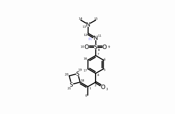 CC(C(=O)c1ccc(S(=O)(=O)/N=C/N(C)C)cc1)=C1SCS1